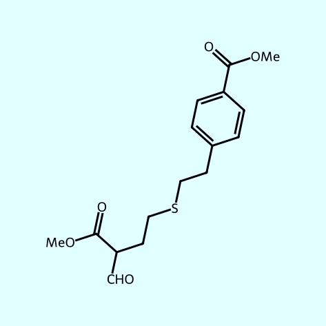 COC(=O)c1ccc(CCSCCC(C=O)C(=O)OC)cc1